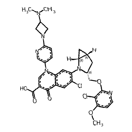 COc1ccnc(OC[C@H]2C[C@H]3C[C@H]3N2c2cc3c(cc2Cl)c(=O)c(C(=O)O)cn3-c2ccc(N3CC(N(C)C)C3)nc2)c1Cl